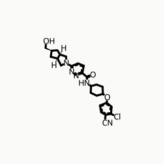 N#Cc1ccc(OC2CCC(NC(=O)c3ccc(N4C[C@H]5C[C@@H](CO)C[C@H]5C4)nn3)CC2)cc1Cl